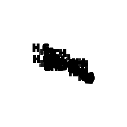 Cc1cc(C)c(NC(Cc2ccc(-c3c[nH]c(CNc4nc5ccccc5[nH]4)n3)cc2)C(=O)O)c(C)c1